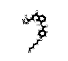 O=C(Nc1cccc2c(=O)cc(-c3nnn[nH]3)oc12)c1ccc(OCCCCCCl)cc1